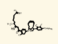 COc1ccc(C2=CN=C3/C(Nc4ccc(C(=O)CC(=N)[C@H](C)CCCCC(=N)C(C)C)c(Cl)c4)=C/C/C=C\CCC23)c(F)c1F